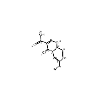 CCC1=CC2C(=O)C(C(=O)O)=COC2C=C1